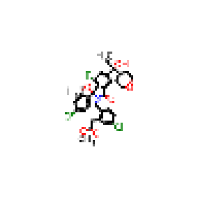 CCC(O)(c1cc(F)c2c(c1)C(=O)N(Cc1ccc(Cl)cc1CC(=O)OC)[C@@]2(OC)c1ccc(Cl)cc1)C1CCOCC1